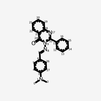 CN(C)c1ccc(C=Nn2c(-c3ccccc3)nc3ccccc3c2=O)cc1